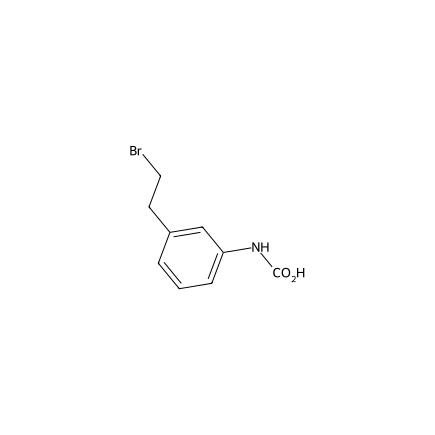 O=C(O)Nc1cccc(CCBr)c1